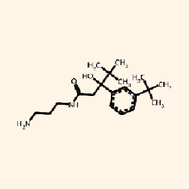 CC(C)(C)c1cccc(C(O)(CC(=O)NCCCN)C(C)(C)C)c1